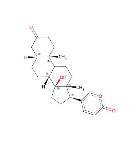 C[C@]12CCC(=O)C[C@H]1CC[C@@H]1C2CC[C@]2(C)[C@@H](c3ccc(=O)oc3)CC[C@]12O